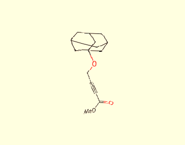 COC(=O)C#CCOC12CC3CC(CC(C3)C1)C2